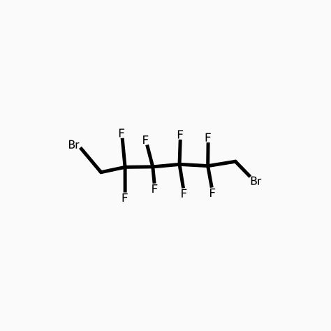 FC(F)(CBr)C(F)(F)C(F)(F)C(F)(F)CBr